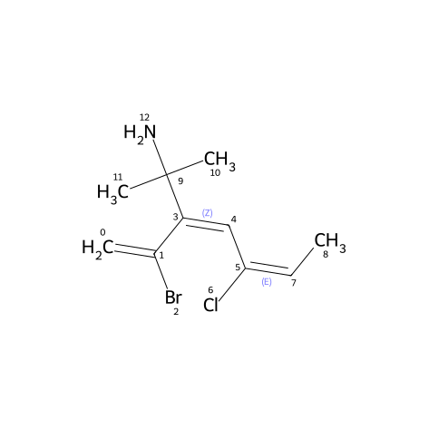 C=C(Br)/C(=C\C(Cl)=C/C)C(C)(C)N